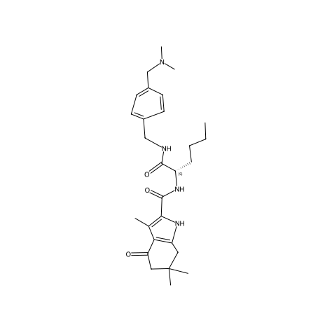 CCCC[C@H](NC(=O)c1[nH]c2c(c1C)C(=O)CC(C)(C)C2)C(=O)NCc1ccc(CN(C)C)cc1